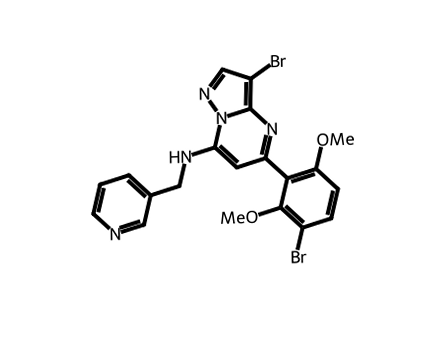 COc1ccc(Br)c(OC)c1-c1cc(NCc2cccnc2)n2ncc(Br)c2n1